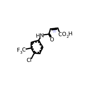 O=C(O)/C=C\C(=O)Nc1ccc(Cl)c(C(F)(F)F)c1